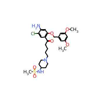 COc1cc(COc2cc(N)c(Cl)cc2C(=O)CCCCN2CCC(NS(C)(=O)=O)CC2)cc(OC)c1